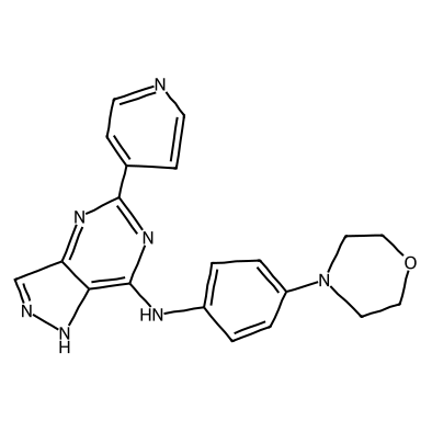 c1cc(-c2nc(Nc3ccc(N4CCOCC4)cc3)c3[nH]ncc3n2)ccn1